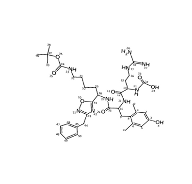 Cc1cc(O)cc(C)c1CC(NC(=O)C(CCNC(=N)N)NC(=O)O)C(=O)NC(CCCCNC(=O)OC(C)(C)C)c1nc(Cc2ccccc2)no1